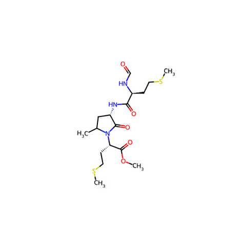 COC(=O)[C@H](CCSC)N1C(=O)[C@@H](NC(=O)[C@H](CCSC)NC=O)CC1C